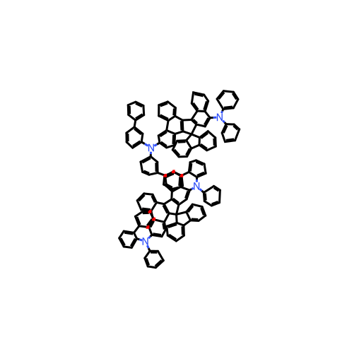 c1ccc(-c2cccc(N(c3cccc(-c4cccc(-c5ccccc5N(c5ccccc5)c5cc6c(c7ccccc57)-c5c(c7ccc(N(c8ccccc8)c8ccccc8-c8ccccc8)cc7c7ccccc57)C65c6ccccc6-c6ccccc65)c4)c3)c3ccc4c5c(c6ccccc6c4c3)-c3c(cc(N(c4ccccc4)c4ccccc4)c4ccccc34)C53c4ccccc4-c4ccccc43)c2)cc1